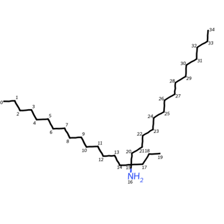 CCCCCCCCCCCCCCCC(N)(CCC)CCCCCCCCCCCCCCC